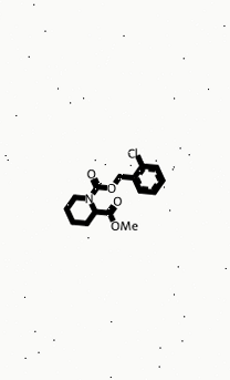 COC(=O)C1CCCCN1C(=O)OCc1ccccc1Cl